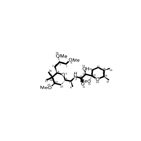 COC[C@H](C[C@H]1O[C@H]([C@H](C)NC(=O)[C@@H](O)[C@@]2(OC)CC[C@@H](C)[C@@H](C)O2)C[C@@H](OC)C1(C)C)OC